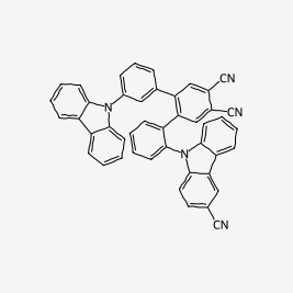 N#Cc1ccc2c(c1)c1ccccc1n2-c1ccccc1-c1cc(C#N)c(C#N)cc1-c1cccc(-n2c3ccccc3c3ccccc32)c1